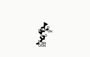 CC(=O)N=C(NO)C1CC(=O)N(c2cnn3c2CN(C(=O)O)C(C2CC2)C3)C1